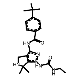 CCNC(=O)Nn1nc(NC(=O)c2ccc(C(C)(C)C)cc2)c2c1C(C)(C)NC2